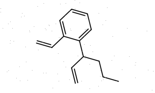 C=Cc1ccccc1C(C=C)CCC